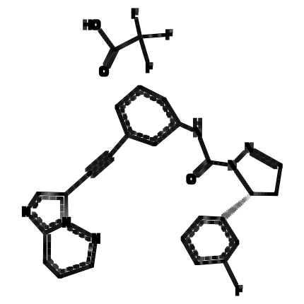 O=C(Nc1cccc(C#Cc2cnc3cccnn23)c1)N1N=CC[C@@H]1c1cccc(F)c1.O=C(O)C(F)(F)F